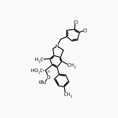 Cc1ccc(-c2c(C)c3c(c(C)c2[C@H](OC(C)(C)C)C(=O)O)CN(Cc2ccc(Cl)c(Cl)c2)C3)cc1